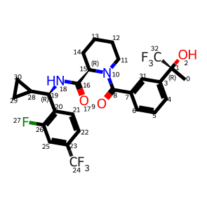 C[C@@](O)(c1cccc(C(=O)N2CCCC[C@@H]2C(=O)N[C@@H](c2ccc(C(F)(F)F)cc2F)C2CC2)c1)C(F)(F)F